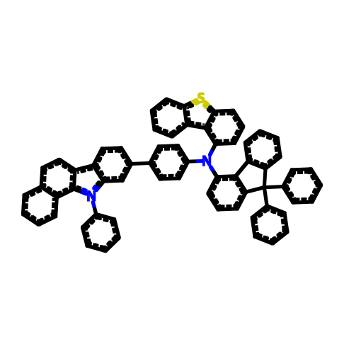 c1ccc(-n2c3cc(-c4ccc(N(c5cccc6c5-c5ccccc5C6(c5ccccc5)c5ccccc5)c5cccc6sc7ccccc7c56)cc4)ccc3c3ccc4ccccc4c32)cc1